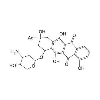 CC(=O)C1(O)Cc2c(O)c3c(c(O)c2C(OC2CC(N)C(O)CO2)C1)C(=O)c1c(O)cccc1C3=O